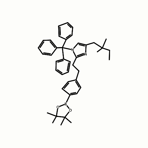 CCC(C)(C)Cc1cn(C(c2ccccc2)(c2ccccc2)c2ccccc2)c(CCc2ccc(B3OC(C)(C)C(C)(C)O3)cc2)n1